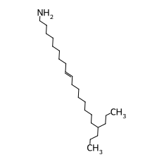 CCCC(CCC)CCCCCCCC=CCCCCCCCCN